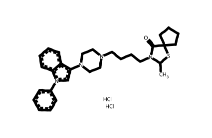 CC1SC2(CCCC2)C(=O)N1CCCCN1CCN(c2cn(-c3ccccc3)c3ccccc23)CC1.Cl.Cl